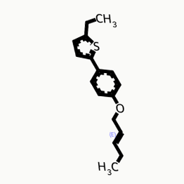 CC/C=C/COc1ccc(-c2ccc(CC)s2)cc1